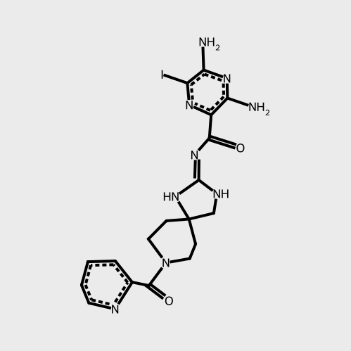 Nc1nc(N)c(C(=O)/N=C2\NCC3(CCN(C(=O)c4ccccn4)CC3)N2)nc1I